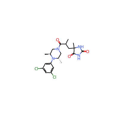 CC(CC1(C)NC(=O)NC1=O)C(=O)N1C[C@H](C)N(c2cc(Cl)cc(Cl)c2)[C@@H](C)C1